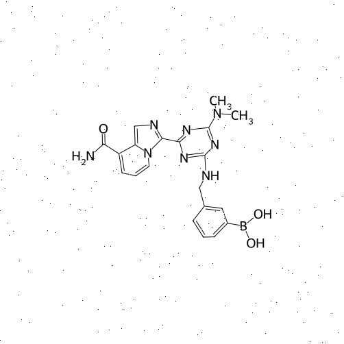 CN(C)c1nc(NCc2cccc(B(O)O)c2)nc(-c2ncc3c(C(N)=O)cccn23)n1